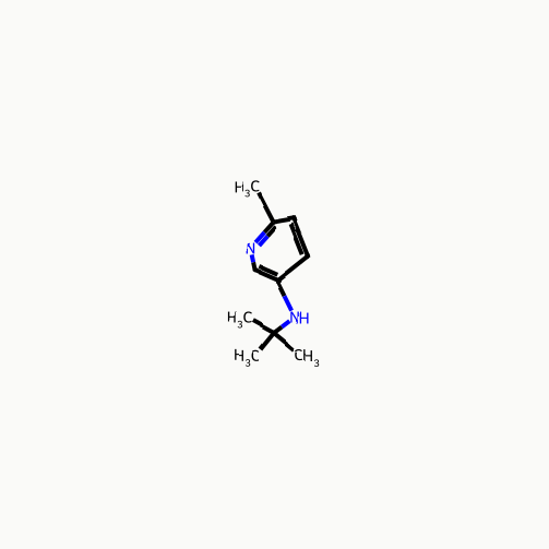 Cc1ccc(NC(C)(C)C)cn1